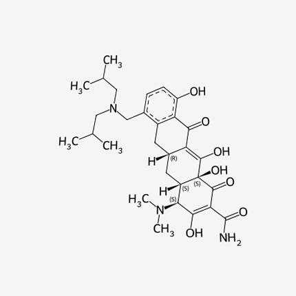 CC(C)CN(Cc1ccc(O)c2c1C[C@H]1C[C@H]3[C@H](N(C)C)C(O)=C(C(N)=O)C(=O)[C@@]3(O)C(O)=C1C2=O)CC(C)C